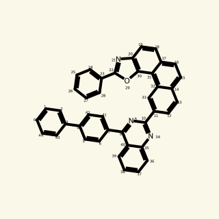 c1ccc(-c2ccc(-c3nc(-c4ccc5ccc6ccc7nc(-c8ccccc8)oc7c6c5c4)nc4ccccc34)cc2)cc1